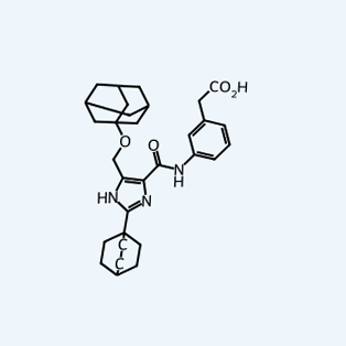 O=C(O)Cc1cccc(NC(=O)c2nc(C34CCC(CC3)CC4)[nH]c2COC23CC4CC(CC(C4)C2)C3)c1